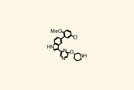 COc1ccc(Cl)cc1-c1ccc2[nH]cc(-c3cncc(O[C@@H]4CCCNC4)n3)c2c1